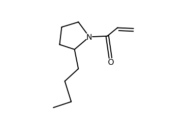 C=CC(=O)N1CCCC1CCCC